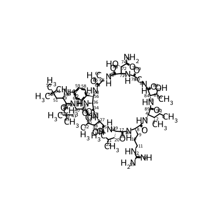 CC[C@H](C)[C@@H]1NC(=O)[C@@H](CCCNC(=N)N)NC(=O)[C@H](CC(C)C)NC(=O)[C@H]([C@H](O)C(C)C)NC(=O)[C@@H](NC(=O)[C@H](CC(C)(C)C)NC(=O)[C@H](N)CC(C)(C)C)[C@@H](c2ccccc2)NC(=O)[C@H](C)NC(=O)C([C@H](O)C(N)=O)NC(=O)CNC(=O)[C@H]([C@H](C)O)NC1=O